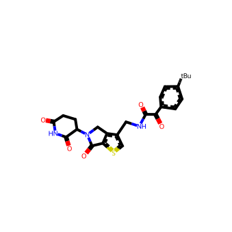 CC(C)(C)c1ccc(C(=O)C(=O)NCc2csc3c2CN(C2CCC(=O)NC2=O)C3=O)cc1